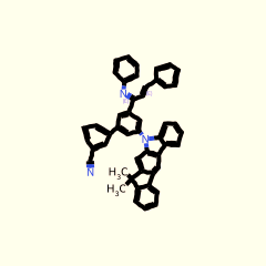 CC1(C)c2ccccc2-c2cc3c4ccccc4n(-c4cc(C(/C=C/c5ccccc5)=N/c5ccccc5)cc(-c5cccc(C#N)c5)c4)c3cc21